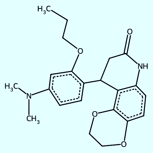 CCCOc1cc(N(C)C)ccc1C1CC(=O)Nc2ccc3c(c21)OCCO3